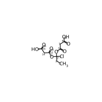 CCC(Cl)(OC(=O)CC(=O)O)OC(=O)CC(=O)O